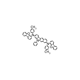 Cc1ccc(N(c2ccc3cc4c5ccc(N(c6ccc(C)cc6)c6cccc7c6oc6ccccc67)cc5n(-c5ccccc5)c4cc3c2)c2cccc3c2oc2ccccc23)cc1